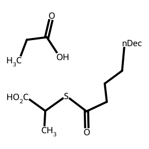 CCC(=O)O.CCCCCCCCCCCCCC(=O)SC(C)C(=O)O